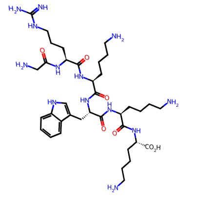 N=C(N)NCCC[C@H](NC(=O)CN)C(=O)N[C@@H](CCCCN)C(=O)N[C@@H](Cc1c[nH]c2ccccc12)C(=O)N[C@@H](CCCCN)C(=O)N[C@@H](CCCCN)C(=O)O